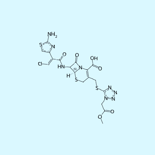 COC(=O)Cn1nnnc1SCC1=C(C(=O)O)N2C(=O)C(NC(=O)C(=CCl)c3csc(N)n3)[C@@H]2SC1